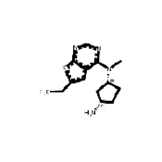 CN(c1ncnc2sc(CC(F)(F)F)cc12)[C@@H]1CC[C@H](N)C1